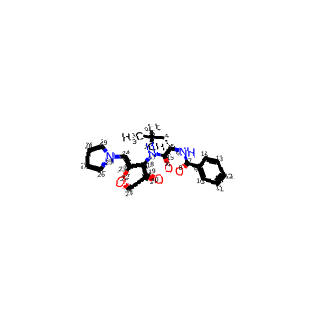 CCC(C)(C)C[C@H](NC(=O)c1ccccc1)C(=O)NC1C(=O)COC1CN1CCCC1